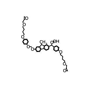 CC1c2cc(OCOc3ccc(OCCCCOCC4CO4)cc3)ccc2-c2ccc(C(OO)c3ccc(OCCCCOCC4CO4)cc3)cc21